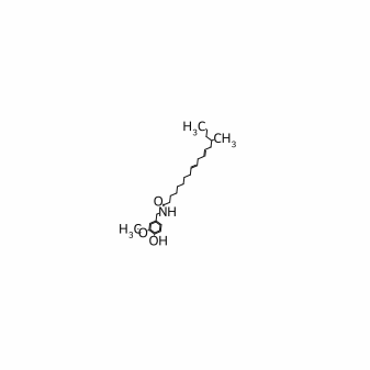 CCCC(C)CC=CCC=CCCCCCCCC(=O)NCc1ccc(O)c(OC)c1